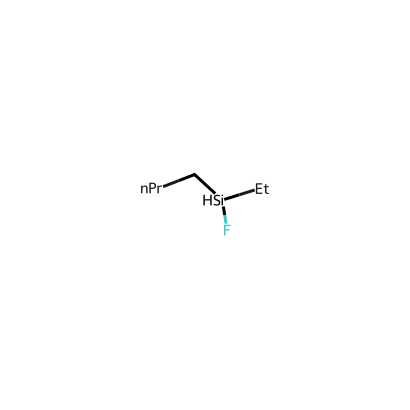 CCCC[SiH](F)CC